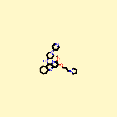 COc1nc2c(NC3CCN(c4ccncc4)CC3)c3c(nc2cc1OCCCN1CCCC1)CCCCC3